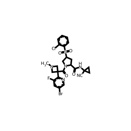 CN1CC(C(=O)N2CC(S(=O)(=O)c3ccccc3Cl)CC2C(=O)NC2(C#N)CC2)(c2ncc(Br)cc2F)C1